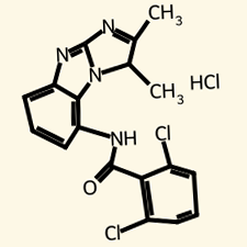 CC1=Nc2nc3cccc(NC(=O)c4c(Cl)cccc4Cl)c3n2C1C.Cl